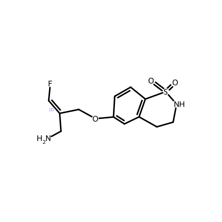 NC/C(=C/F)COc1ccc2c(c1)CCNS2(=O)=O